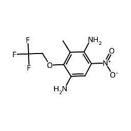 Cc1c(N)c([N+](=O)[O-])cc(N)c1OCC(F)(F)F